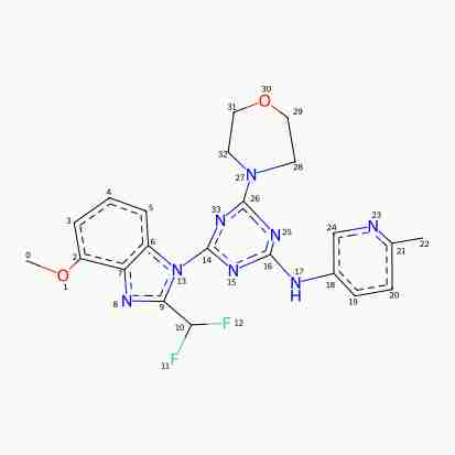 COc1cccc2c1nc(C(F)F)n2-c1nc(Nc2ccc(C)nc2)nc(N2CCOCC2)n1